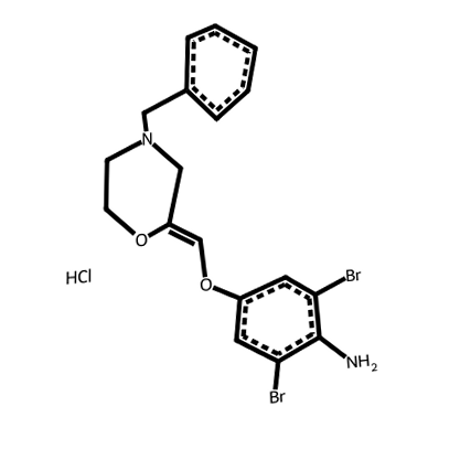 Cl.Nc1c(Br)cc(OC=C2CN(Cc3ccccc3)CCO2)cc1Br